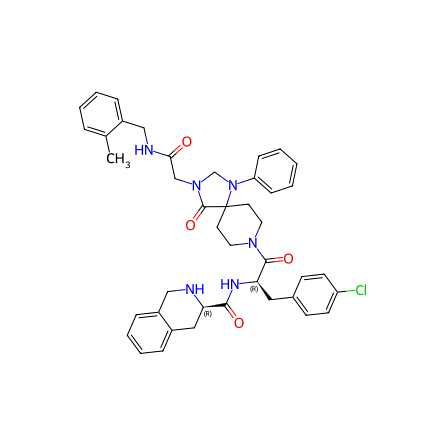 Cc1ccccc1CNC(=O)CN1CN(c2ccccc2)C2(CCN(C(=O)[C@@H](Cc3ccc(Cl)cc3)NC(=O)[C@H]3Cc4ccccc4CN3)CC2)C1=O